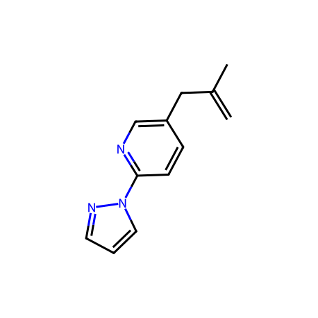 C=C(C)Cc1ccc(-n2cccn2)nc1